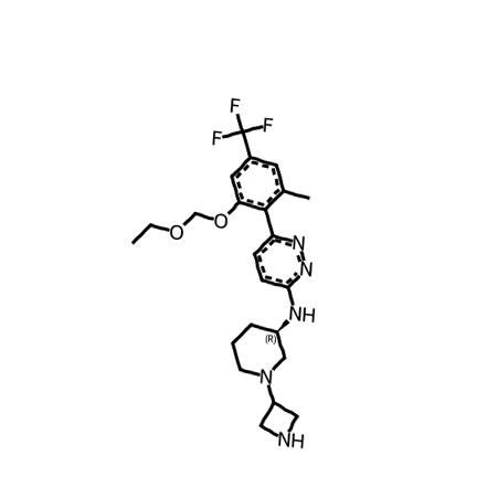 CCOCOc1cc(C(F)(F)F)cc(C)c1-c1ccc(N[C@@H]2CCCN(C3CNC3)C2)nn1